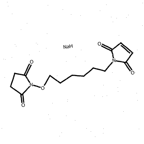 O=C1C=CC(=O)N1CCCCCCON1C(=O)CCC1=O.[NaH]